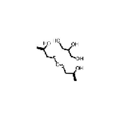 C=C(O)CSOSCC(=C)O.OCC(O)CO